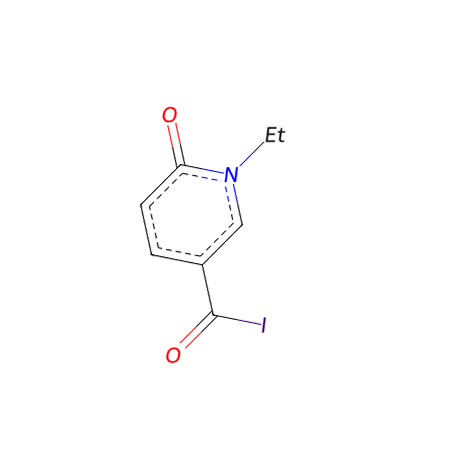 CCn1cc(C(=O)I)ccc1=O